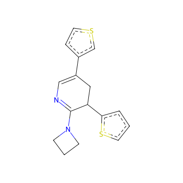 C1=C(c2ccsc2)CC(c2cccs2)C(N2CCC2)=N1